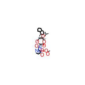 COc1ccnc(C(=O)N[C@H]2COC[C@H](Cc3cccc4ccccc34)[C@@H](OCC(C)C)[C@H](C)OC2=O)c1OCOC(C)=O